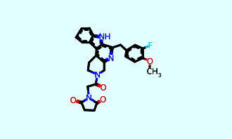 COc1ccc(Cc2nc3c(c4c2[nH]c2ccccc24)CCN(C(=O)CN2C(=O)CCC2=O)C3)cc1F